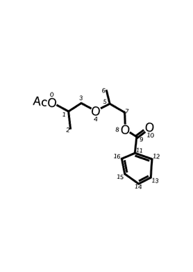 CC(=O)OC(C)COC(C)COC(=O)c1ccccc1